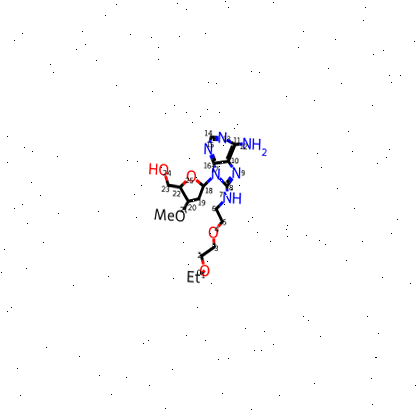 CCOCCOCCNc1nc2c(N)ncnc2n1C1CC(OC)C(CO)O1